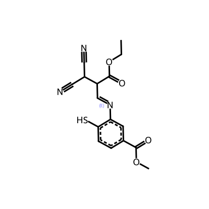 CCOC(=O)C(/C=N/c1cc(C(=O)OC)ccc1S)C(C#N)C#N